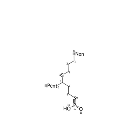 CCCCCCCCCCCCSC(CCCCC)CCS[PH](=O)O